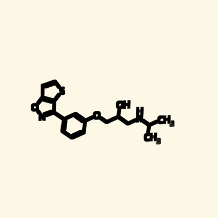 CC(C)NCC(O)COc1cccc(-c2noc3ccsc23)c1